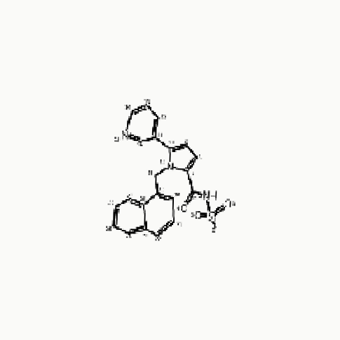 CS(=O)(=O)NC(=O)c1ccc(-c2cccnc2)n1Cc1cccc2ccccc12